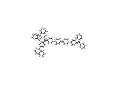 c1ccc(-n2c3ccccc3c3cc(-c4ccc(-c5ccc(-c6ccc(N(c7ccc(-c8cccc9ccccc89)cc7)c7cc8ccccc8c8c7oc7ccccc78)cc6)cc5)cc4)ccc32)cc1